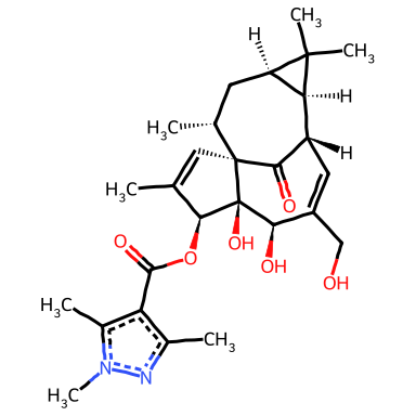 CC1=C[C@]23C(=O)[C@@H](C=C(CO)[C@@H](O)[C@]2(O)[C@H]1OC(=O)c1c(C)nn(C)c1C)[C@H]1[C@@H](C[C@H]3C)C1(C)C